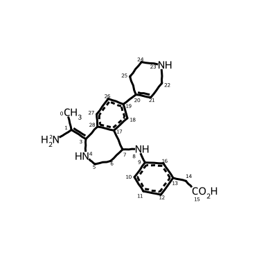 C/C(N)=C1/NCCC(Nc2cccc(CC(=O)O)c2)c2cc(C3=CCNCC3)ccc21